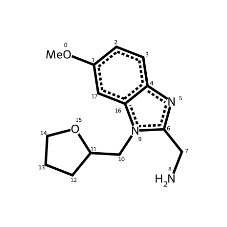 COc1ccc2nc(CN)n(CC3CCCO3)c2c1